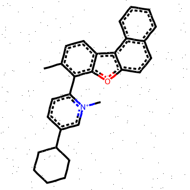 Cc1ccc2c(oc3ccc4ccccc4c32)c1-c1ccc(C2CCCCC2)c[n+]1C